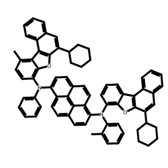 Cc1ccccc1N(c1ccc2ccc3c(N(c4ccccc4)c4ccc(C)c5c4oc4c(C6CCCCC6)cc6ccccc6c45)ccc4ccc1c2c43)c1cccc2c1oc1c(C3CCCCC3)cc3ccccc3c12